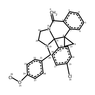 C=C1c2ccccc2C2(CC2)C2(c3ccc(Cl)cc3)N(Cc3ccc(OCl)cc3)CCN12